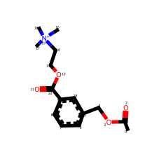 CC(=O)OCc1cccc(C(=O)OCC[N+](C)(C)C)c1